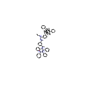 C=C/C=C(\C=C(/C)c1cccc(/C(C)=C(/C(=C(\C(=C/C)C2=CC=CCC=C2)c2ccccc2)c2ccccc2)c2ccccc2)c1)c1cccc(-c2nc(C3=CCCC=C3)nc(-c3ccccc3)n2)c1